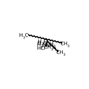 CCCCCCCCCCCCCCC(CCCCCCCCCC)C(C)(CCCCCCCCCC)C(C)(C)C(C)(N)N.Cl